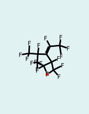 FC(=C(C(F)(C(F)(F)F)C(F)(F)F)C(F)(C(F)(F)F)C(F)(F)F)C(F)(F)F